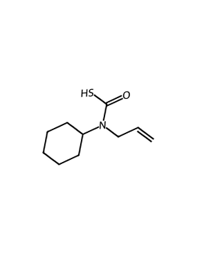 C=CCN(C(=O)S)C1CCCCC1